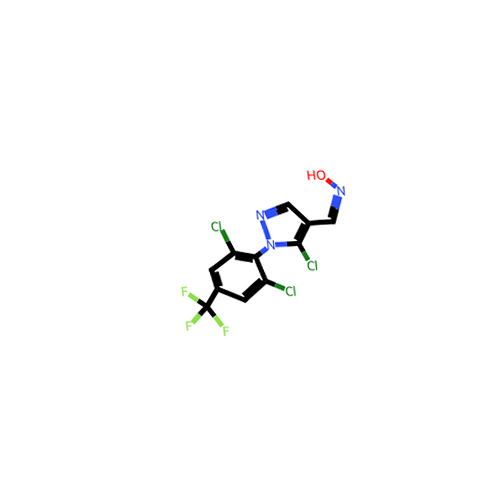 O/N=C\c1cnn(-c2c(Cl)cc(C(F)(F)F)cc2Cl)c1Cl